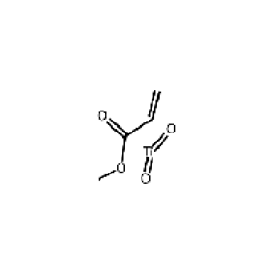 C=CC(=O)OC.[O]=[Ti]=[O]